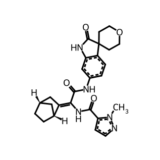 Cn1nccc1C(=O)N/C(C(=O)Nc1ccc2c(c1)NC(=O)C21CCOCC1)=C1/C[C@H]2CC[C@@H]1C2